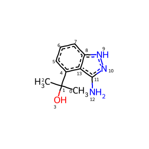 CC(C)(O)c1cccc2[nH]nc(N)c12